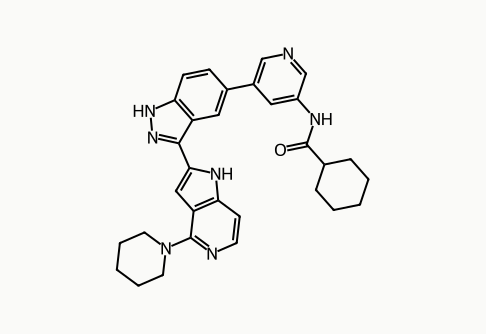 O=C(Nc1cncc(-c2ccc3[nH]nc(-c4cc5c(N6CCCCC6)nccc5[nH]4)c3c2)c1)C1CCCCC1